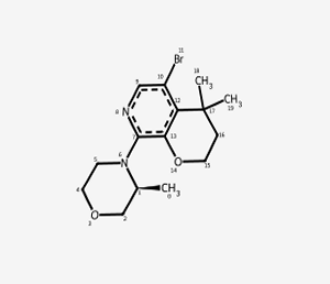 C[C@H]1COCCN1c1ncc(Br)c2c1OCCC2(C)C